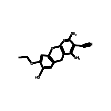 CCOc1cc2c(cc1O)Cc1c(nc(N)c(C#N)c1N)O2